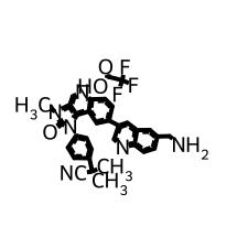 Cn1c(=O)n(-c2ccc(C(C)(C)C#N)cc2)c2c3cc(-c4cnc5ccc(CN)cc5c4)ccc3ncc21.O=C(O)C(F)(F)F